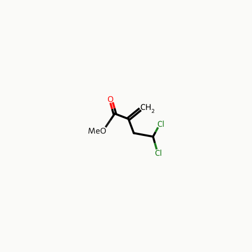 C=C(CC(Cl)Cl)C(=O)OC